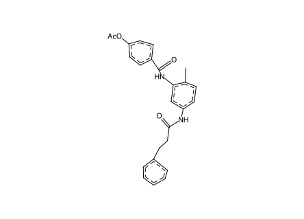 CC(=O)Oc1ccc(C(=O)Nc2cc(NC(=O)CCc3ccccc3)ccc2C)cc1